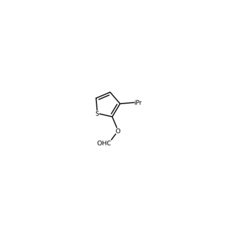 CC(C)c1ccsc1OC=O